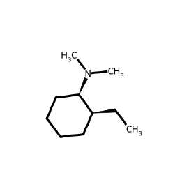 CC[C@H]1CCCC[C@H]1N(C)C